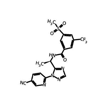 C[C@@H](NC(=O)c1cc(C(F)(F)F)cc(S(C)(=O)=O)c1)c1ncnn1-c1ccc(C#N)cn1